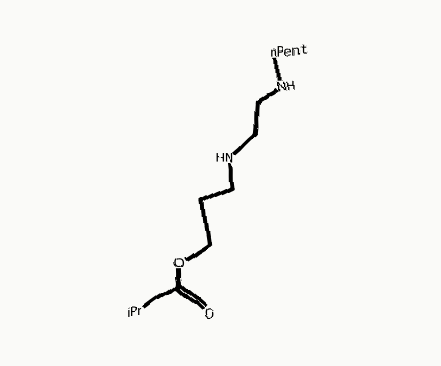 CCCCCNCCNCCCOC(=O)C(C)C